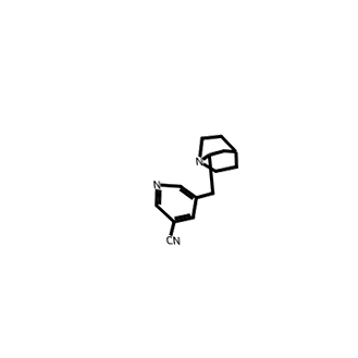 N#Cc1cncc(CC2CC3CCN2CC3)c1